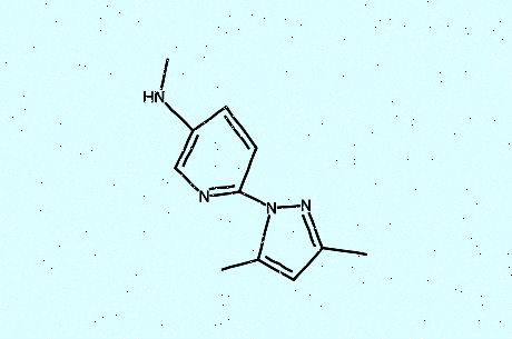 CNc1ccc(-n2nc(C)cc2C)nc1